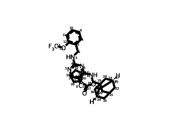 N#Cc1cnc(NCc2ccccc2OC(F)(F)F)nc1NCC12CC3C[C@H](C1)C(OC(=O)[C@H]1CCCN1)[C@@H](C3)C2